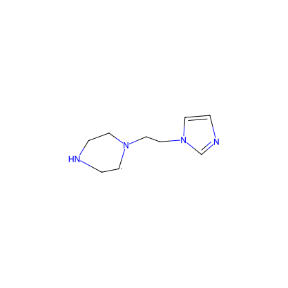 [CH]1CNCCN1CCn1ccnc1